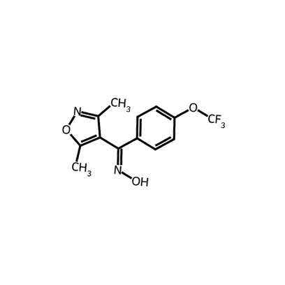 Cc1noc(C)c1/C(=N/O)c1ccc(OC(F)(F)F)cc1